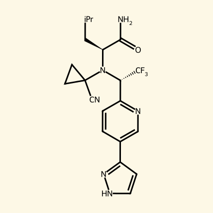 CC(C)C[C@@H](C(N)=O)N([C@@H](c1ccc(-c2cc[nH]n2)cn1)C(F)(F)F)C1(C#N)CC1